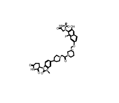 Cn1c(=O)n(C2CCC(=O)NC2=O)c2ccc(C3CCN(CC(=O)N4CCC[C@H](COc5ccc6cc(O)c(N7CC(=O)NS7(=O)=O)c(F)c6c5)C4)CC3)cc21